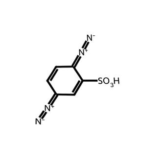 [N-]=[N+]=C1C=CC(=[N+]=[N-])C(S(=O)(=O)O)=C1